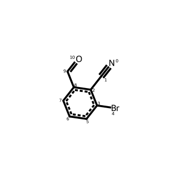 N#Cc1c(Br)cccc1C=O